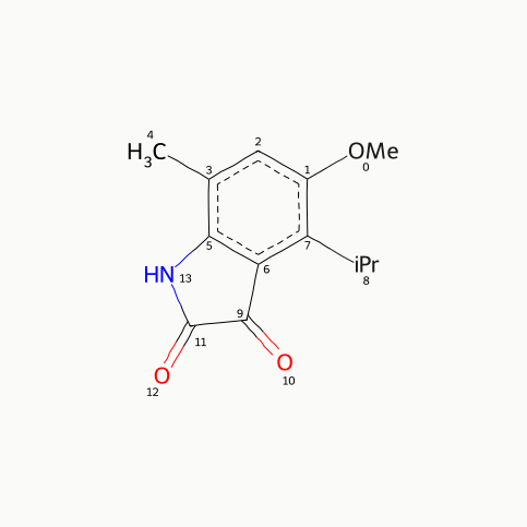 COc1cc(C)c2c(c1C(C)C)C(=O)C(=O)N2